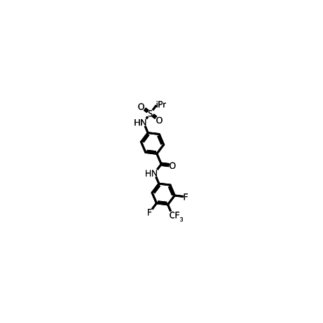 CC(C)S(=O)(=O)Nc1ccc(C(=O)Nc2cc(F)c(C(F)(F)F)c(F)c2)cc1